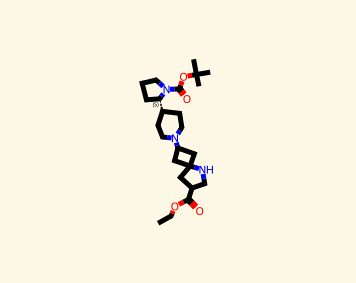 CCOC(=O)C1CNC2(C1)CC(N1CCC([C@@H]3CCCN3C(=O)OC(C)(C)C)CC1)C2